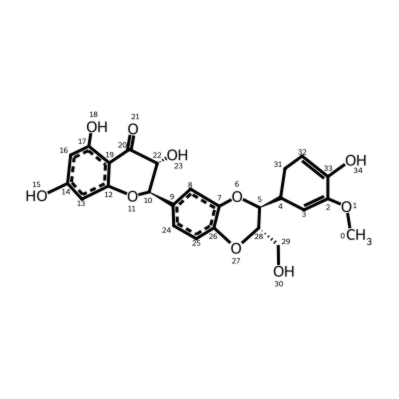 COC1=CC([C@@H]2Oc3cc([C@H]4Oc5cc(O)cc(O)c5C(=O)[C@@H]4O)ccc3O[C@H]2CO)CC=C1O